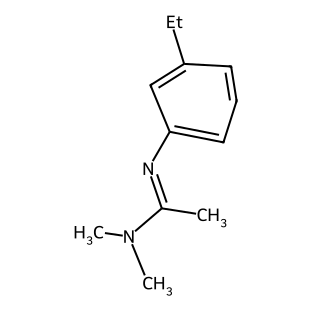 CCc1cccc(/N=C(\C)N(C)C)c1